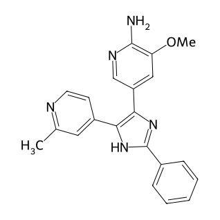 COc1cc(-c2nc(-c3ccccc3)[nH]c2-c2ccnc(C)c2)cnc1N